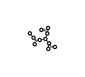 c1ccc(-c2ccc(N(c3ccccc3)c3ccc(-c4cc(-c5ccc6c(c5)c5ccccc5n6-c5ccccc5)cc(-c5ccc6c7ccccc7n(-c7ccccc7)c6c5)c4)cc3)cc2)cc1